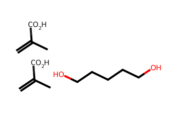 C=C(C)C(=O)O.C=C(C)C(=O)O.OCCCCCO